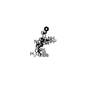 CCCCOC(C)(C)C(=O)Nc1ncnn2c([C@]3(C#N)O[C@H](COC(=O)Cc4ccccc4)[C@@H](OC(=O)[C@@H](N)C(C)C)[C@H]3O)ccc12